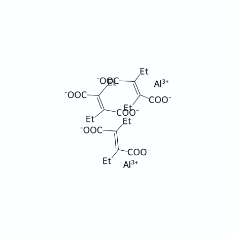 CCC(C(=O)[O-])=C(CC)C(=O)[O-].CCC(C(=O)[O-])=C(CC)C(=O)[O-].CCC(C(=O)[O-])=C(CC)C(=O)[O-].[Al+3].[Al+3]